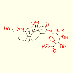 C[C@]12CC(=O)[C@@H](OC3O[C@H](C(=O)O)[C@@H](O)[C@H](O)[C@H]3O)CC1CC[C@@H]1[C@@H]2[C@@H](O)C[C@@]2(C)[C@H]1CC[C@]2(O)CCO